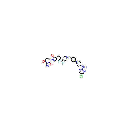 O=C1CCC(N2Cc3cc(C4(C(F)F)CCN(Cc5ccc(N6CCC(Nc7ncc(Cl)cn7)CC6)cc5)CC4)ccc3C2=O)C(=O)N1